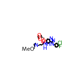 COC[C@H]1CCN1CC=CC(=O)Nc1cc2c(Nc3ccc(F)c(Cl)c3)ncnc2cc1OC[C@H]1COCCO1